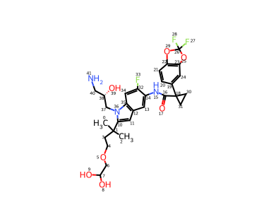 CC(C)(CCOCC(O)O)c1cc2cc(NC(=O)C3(c4ccc5c(c4)OC(F)(F)O5)CC3)c(F)cc2n1C[C@@H](O)CN